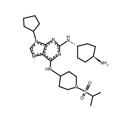 CC(C)S(=O)(=O)N1CCC(Nc2nc(N[C@H]3CC[C@H](N)CC3)nc3c2ncn3C2CCCC2)CC1